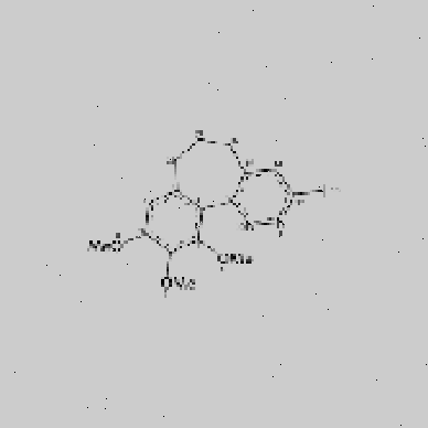 COc1cc2c(c(OC)c1OC)-c1nnc(I)cc1CCC2